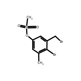 Cc1cc(OS(C)(=O)=O)cc(CBr)c1Br